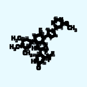 COc1cc(N2CC=C(c3c(F)cc(N4C[C@@H](C)N(C)[C@@H](C)C4)c(NC(=O)c4c[nH]c(=O)cc4C(F)(F)F)c3F)C2)ncn1